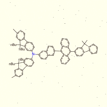 CCCCC1(CCCC)c2cc(C)ccc2-c2ccc(N(c3ccc4c(c3)C(CCCC)(CCCC)c3cc(C)ccc3-4)c3ccc4cc(-c5c6ccccc6c(-c6ccc7c(c6)C(C)(C)c6ccccc6-7)c6ccccc56)ccc4c3)cc21